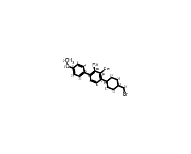 COc1ccc(-c2ccc(C3CCC(CBr)CC3)c(F)c2F)cc1